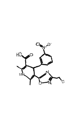 CC1=C(C(=O)O)C(c2cccc([N+](=O)[O-])c2)C(c2nc(CCl)no2)=C(C)N1